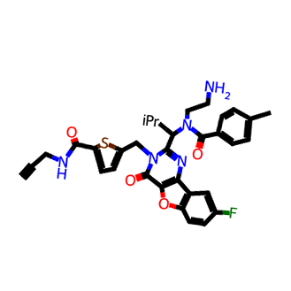 C#CCNC(=O)c1ccc(Cn2c(C(C(C)C)N(CCN)C(=O)c3ccc(C)cc3)nc3c(oc4ccc(F)cc43)c2=O)s1